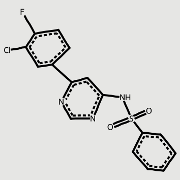 O=S(=O)(Nc1cc(-c2ccc(F)c(Cl)c2)ncn1)c1ccccc1